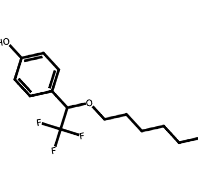 CCCCCCOC(c1ccc(O)cc1)C(F)(F)F